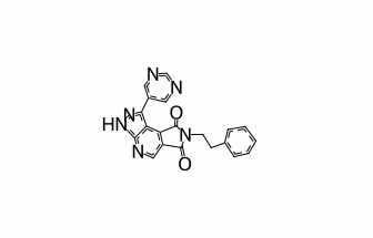 O=C1c2cnc3[nH]nc(-c4cncnc4)c3c2C(=O)N1CCc1ccccc1